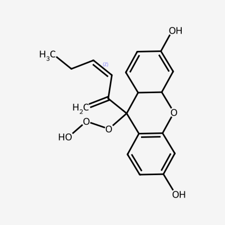 C=C(/C=C\CC)C1(OOO)c2ccc(O)cc2OC2C=C(O)C=CC21